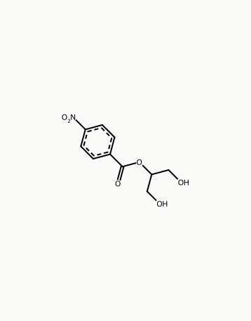 O=C(OC(CO)CO)c1ccc([N+](=O)[O-])cc1